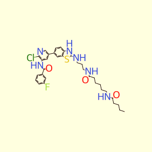 CCCCC(=O)NCCCCCC(=O)NCCCNC1Nc2ccc(-c3cnc(Cl)c(NC(=O)c4cccc(F)c4)c3)cc2S1